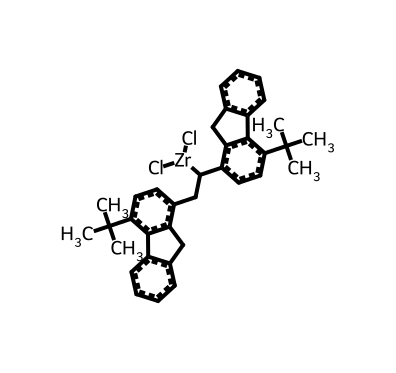 CC(C)(C)c1ccc(C[CH](c2ccc(C(C)(C)C)c3c2Cc2ccccc2-3)[Zr]([Cl])[Cl])c2c1-c1ccccc1C2